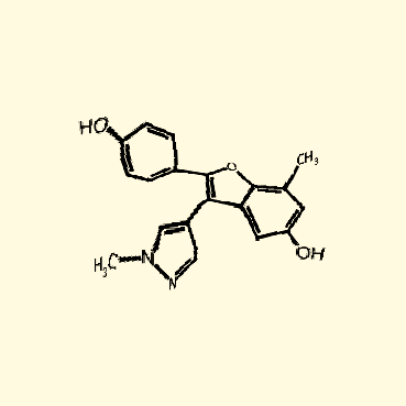 Cc1cc(O)cc2c(-c3cnn(C)c3)c(-c3ccc(O)cc3)oc12